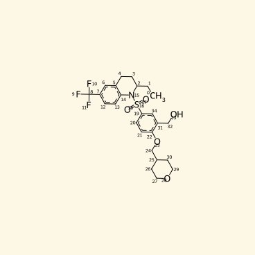 CCC1CCc2cc(C(F)(F)F)ccc2N1S(=O)(=O)c1ccc(OCC2CCOCC2)c(CO)c1